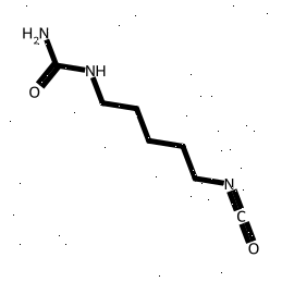 NC(=O)NCCCCCN=C=O